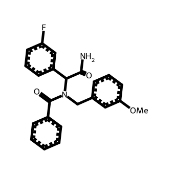 COc1cccc(CN(C(=O)c2ccccc2)C(C(N)=O)c2cccc(F)c2)c1